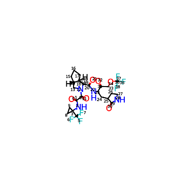 O=C(NC1(C(F)(F)F)CC1)C(=O)N1C[C@@H]2CCC[C@@H]2[C@H]1C(=O)NC(CC1CCNC1=O)C(=O)COC(F)(F)F